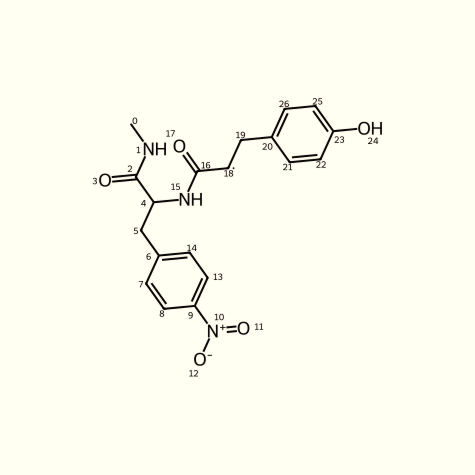 CNC(=O)C(Cc1ccc([N+](=O)[O-])cc1)NC(=O)[CH]Cc1ccc(O)cc1